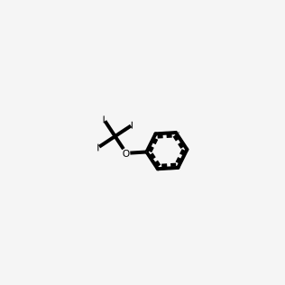 IC(I)(I)Oc1c[c]ccc1